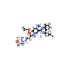 C[C@@H](Nc1ncnc2cc(OCC3CC3)c(NC(=O)/C=C/CN3CCOCC3)cc12)c1ccccc1